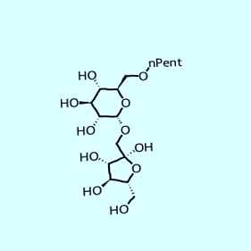 CCCCCOC[C@H]1O[C@H](OC[C@@]2(O)O[C@H](CO)[C@@H](O)[C@@H]2O)[C@H](O)[C@@H](O)[C@@H]1O